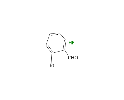 CCc1ccccc1C=O.F